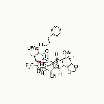 COc1c(C)cc2c(c1OC(=O)/C=C/c1ccccc1)[C@H]1N[C@@H](C2)[C@H](C#N)N2C1[C@@H]1SCC(NC(=O)C(F)(F)F)C(=O)OC[C@H]2c2c3c(c(C)c(OC(C)=O)c21)OCO3